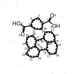 O=C(O)c1ccc(C(=O)O)cc1.c1cc2cccc3c4cccc5cccc(c(c1)c23)c54